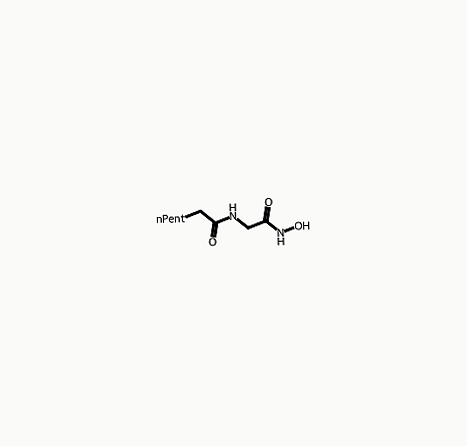 CCCCCCC(=O)NCC(=O)NO